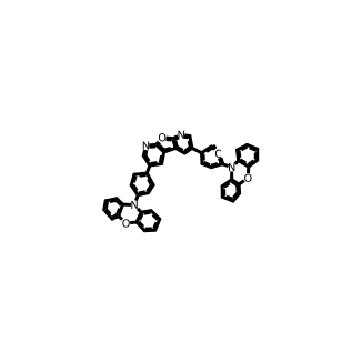 c1ccc2c(c1)Oc1ccccc1N2c1ccc(-c2cnc3oc4ncc(-c5ccc(N6c7ccccc7Oc7ccccc76)cc5)cc4c3c2)cc1